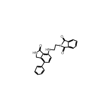 O=C1NCc2c(-c3ccccc3)ccc(NCCN3C(=O)c4ccccc4C3=O)c21